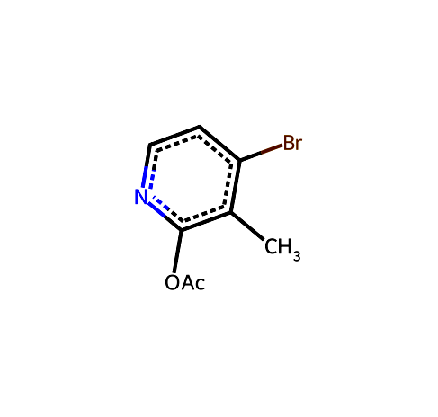 CC(=O)Oc1nccc(Br)c1C